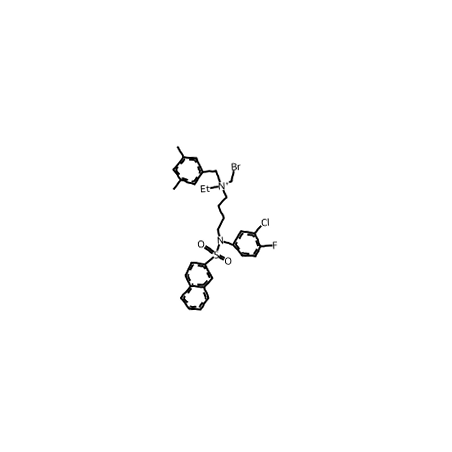 CC[N+](CBr)(CCCCN(c1ccc(F)c(Cl)c1)S(=O)(=O)c1ccc2ccccc2c1)Cc1cc(C)cc(C)c1